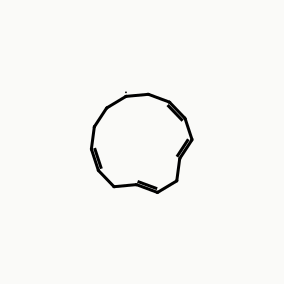 [CH]1C/C=C\C=C\C/C=C/C/C=C\CC1